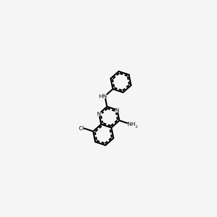 Nc1nc(Nc2ccccc2)nc2c(Cl)cccc12